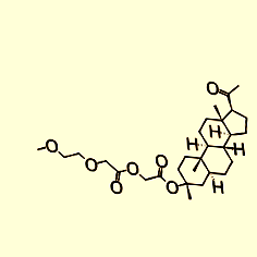 COCCOCC(=O)OCC(=O)O[C@]1(C)CC[C@@]2(C)[C@@H](CC[C@@H]3[C@@H]2CC[C@]2(C)[C@@H](C(C)=O)CC[C@@H]32)C1